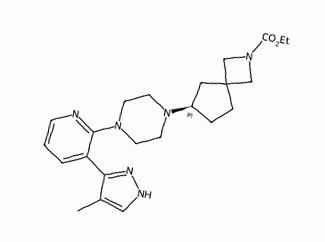 CCOC(=O)N1CC2(CC[C@@H](N3CCN(c4ncccc4-c4n[nH]cc4C)CC3)C2)C1